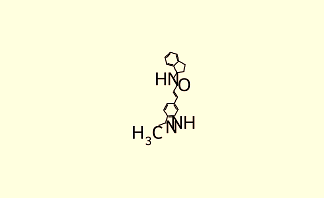 CCc1n[nH]c2cc(/C=C/C(=O)NC3CCc4ccccc43)ccc12